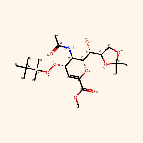 COC(=O)C1=C[C@H](OO[Si](C)(C)C(C)(C)C)[C@@H](NC(C)=O)[C@H]([C@H](O)[C@H]2COC(C)(C)O2)O1